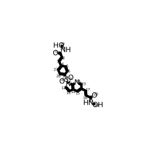 O=C(C=Cc1ccc(S(=O)(=O)n2ccc3cc(C=CC(=O)NO)cnc32)cc1)NO